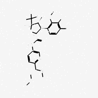 CN[C@H](COC)c1ccc(NC(=O)[C@@H]2O[C@@](C)(C(F)(F)F)[C@@H](C)[C@H]2c2ccc(F)c(F)c2OC)cn1